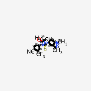 Cc1nn(C)c2ccc(N3C(=S)N(c4ccc(C#N)c(C(F)(F)F)c4)C(=O)C3(C)C)cc12